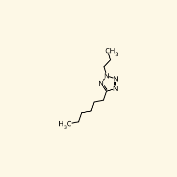 CCCCCCc1nnn(CCC)n1